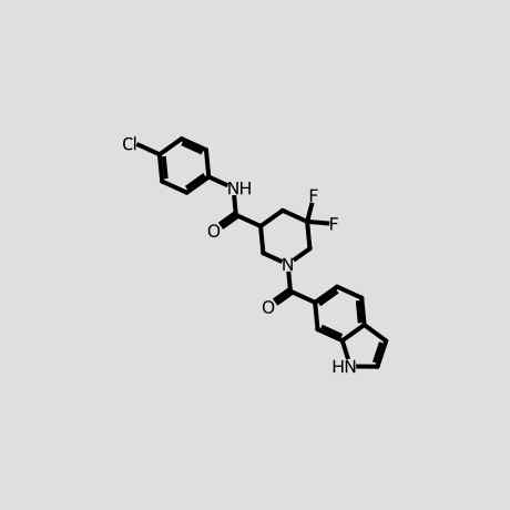 O=C(Nc1ccc(Cl)cc1)C1CN(C(=O)c2ccc3cc[nH]c3c2)CC(F)(F)C1